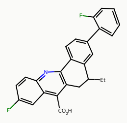 CCC1Cc2c(nc3ccc(F)cc3c2C(=O)O)-c2ccc(-c3ccccc3F)cc21